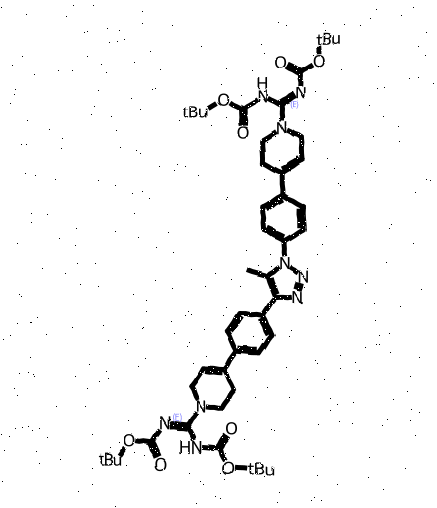 Cc1c(-c2ccc(C3=CCN(/C(=N/C(=O)OC(C)(C)C)NC(=O)OC(C)(C)C)CC3)cc2)nnn1-c1ccc(C2=CCN(/C(=N/C(=O)OC(C)(C)C)NC(=O)OC(C)(C)C)CC2)cc1